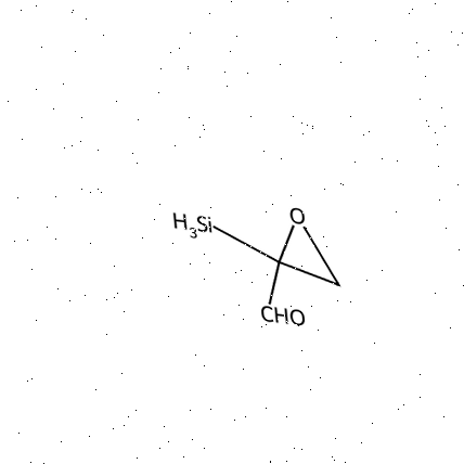 O=CC1([SiH3])CO1